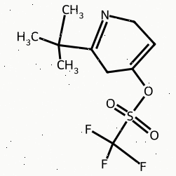 CC(C)(C)C1=NCC=C(OS(=O)(=O)C(F)(F)F)C1